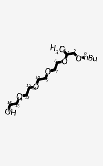 CCCCOCC(C)OCCOCCOCCOCCO